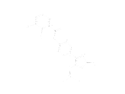 O=C(Nc1ccc(-n2nc(C(F)(F)F)cc2OC(F)F)cc1)c1cccc(F)c1F